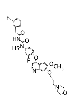 COc1cc2c(Oc3ccc(N(S)C(=O)NC(=O)Cc4cccc(F)c4)cc3F)ccnc2cc1OCCCN1CCOCC1